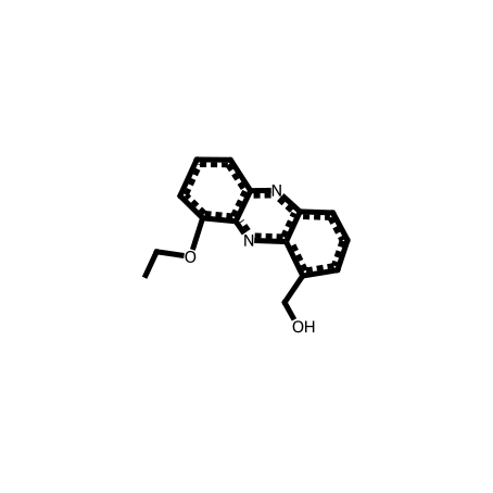 CCOc1cccc2nc3cccc(CO)c3nc12